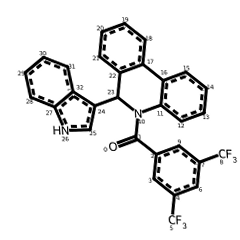 O=C(c1cc(C(F)(F)F)cc(C(F)(F)F)c1)N1c2ccccc2-c2ccccc2C1c1c[nH]c2ccccc12